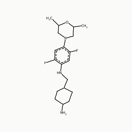 CC1CN(c2cc(F)c(NCC3CCC(N)CC3)cc2F)CC(C)O1